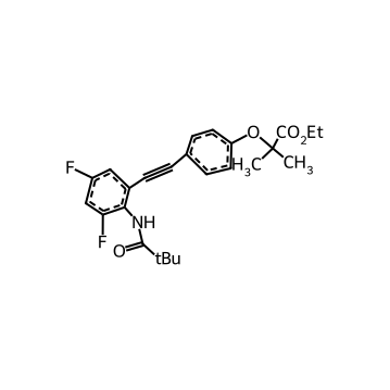 CCOC(=O)C(C)(C)Oc1ccc(C#Cc2cc(F)cc(F)c2NC(=O)C(C)(C)C)cc1